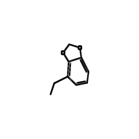 CCc1cccc2c1OCO2